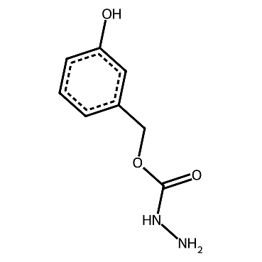 NNC(=O)OCc1cccc(O)c1